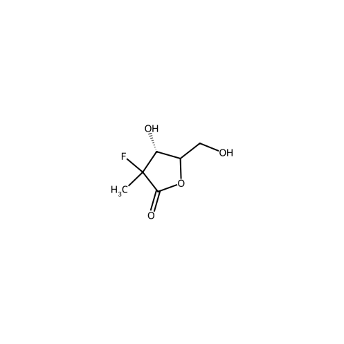 CC1(F)C(=O)OC(CO)[C@H]1O